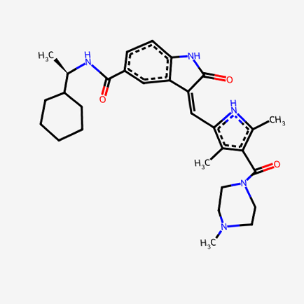 Cc1[nH]c(C=C2C(=O)Nc3ccc(C(=O)N[C@H](C)C4CCCCC4)cc32)c(C)c1C(=O)N1CCN(C)CC1